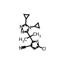 CC(C)(c1sc(Cl)cc1C#N)c1nnc(C2CC2)n1C1CC1